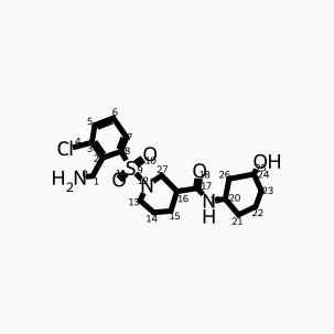 NCc1c(Cl)cccc1S(=O)(=O)N1CCCC(C(=O)NC2CCCC(O)C2)C1